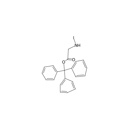 O=C(CNI)OC(c1ccccc1)(c1ccccc1)c1ccccc1